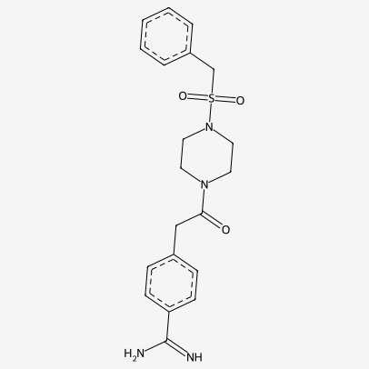 N=C(N)c1ccc(CC(=O)N2CCN(S(=O)(=O)Cc3ccccc3)CC2)cc1